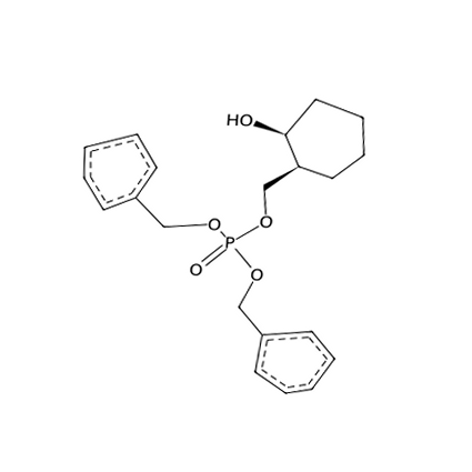 O=P(OCc1ccccc1)(OCc1ccccc1)OC[C@@H]1CCCC[C@@H]1O